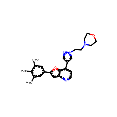 COc1cc(-c2cc3nccc(-c4cnn(CCN5CCOCC5)c4)c3o2)cc(OC)c1OC